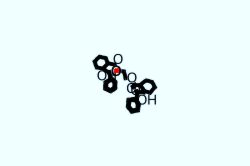 O=C(OCCOC(=O)C1CCCCC1(O)C(=O)c1ccccc1)C1CCCCC1(O)C(=O)c1ccccc1